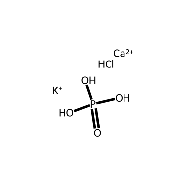 Cl.O=P(O)(O)O.[Ca+2].[K+]